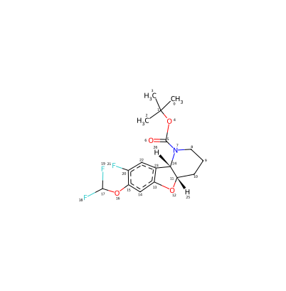 CC(C)(C)OC(=O)N1CCC[C@@H]2Oc3cc(OC(F)F)c(F)cc3[C@@H]21